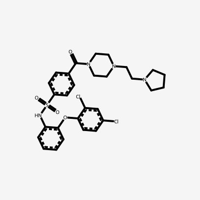 O=C(c1ccc(S(=O)(=O)Nc2ccccc2Oc2ccc(Cl)cc2Cl)cc1)N1CCN(CCN2CCCC2)CC1